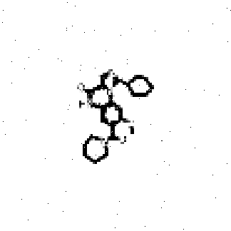 COc1cc2c(cc1C(=O)N1CCCCC1)[nH]c(=O)c1cnc(C3CCCCC3)n12